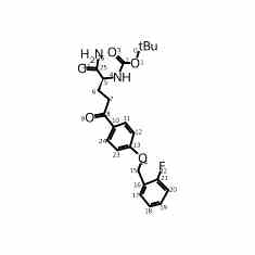 CC(C)(C)OC(=O)N[C@@H](CCC(=O)c1ccc(OCc2ccccc2F)cc1)C(N)=O